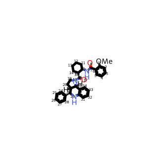 COc1ccccc1C(=O)N[C@@H]1CCCC[C@@H]1C(=O)N1CC[C@H]2[C@H](c3ccccc3)Nc3ccccc3[C@@H]21